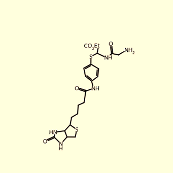 CCOC(=O)C(NC(=O)CN)Sc1ccc(NC(=O)CCCCC2SCC3NC(=O)NC32)cc1